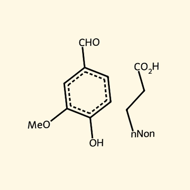 CCCCCCCCCCCC(=O)O.COc1cc(C=O)ccc1O